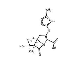 Cc1nnc(SC2=C(C(=O)O)N3C(=O)[C@@H](C(C)(C)O)[C@H]3C2)[nH]1